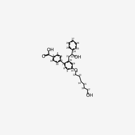 O=C(O)c1ccc(-c2ccc(OCCCCCCO)cc2CC(O)c2ccccc2)cc1